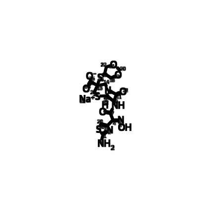 Nc1nc(C(=NO)C(=O)NC2C(=O)N3CC(SC4COCOC4)(C(=O)[O-])CS[C@H]23)cs1.[Na+]